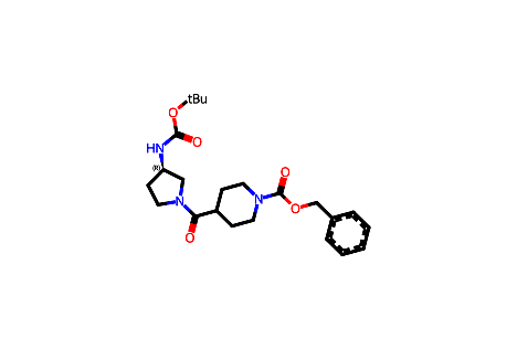 CC(C)(C)OC(=O)N[C@@H]1CCN(C(=O)C2CCN(C(=O)OCc3ccccc3)CC2)C1